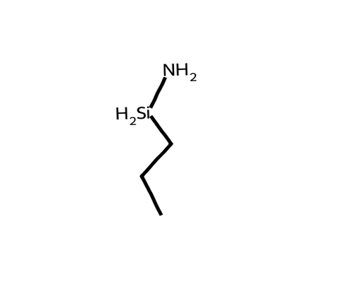 CCC[SiH2]N